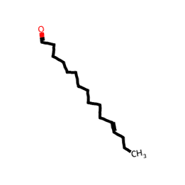 CCCC=CCCCCCCCCCCC=O